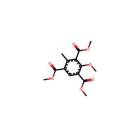 [CH2]Oc1c(C(=O)OC)cc(C(=O)OC)c(C)c1C(=O)OC